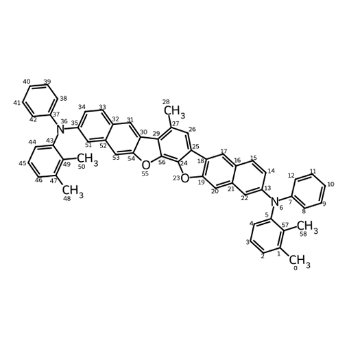 Cc1cccc(N(c2ccccc2)c2ccc3cc4c(cc3c2)oc2c4cc(C)c3c4cc5ccc(N(c6ccccc6)c6cccc(C)c6C)cc5cc4oc23)c1C